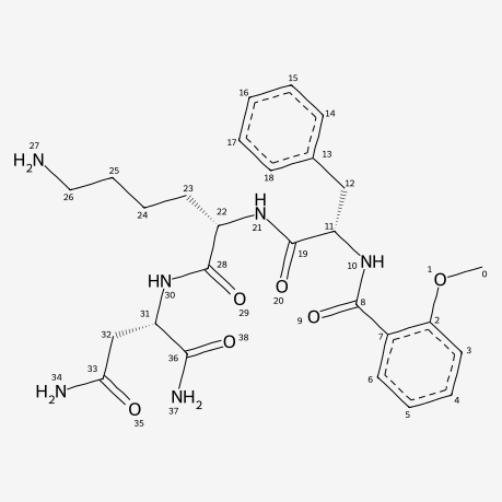 COc1ccccc1C(=O)N[C@@H](Cc1ccccc1)C(=O)N[C@@H](CCCCN)C(=O)N[C@@H](CC(N)=O)C(N)=O